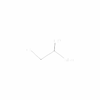 CCCCC(CCl)CCCC